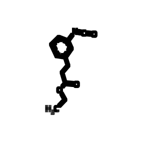 CCOC(=O)CCc1cccc(N=C=O)c1